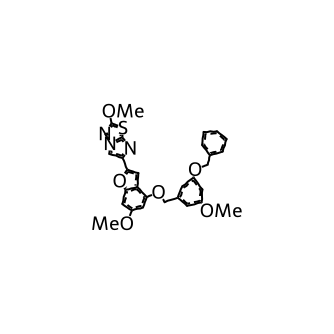 COc1cc(COc2cc(OC)cc3oc(-c4cn5nc(OC)sc5n4)cc23)cc(OCc2ccccc2)c1